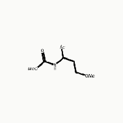 COCCC(NC(=O)OC)C(C)=O